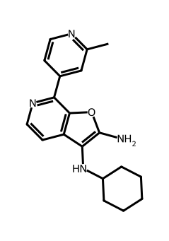 Cc1cc(-c2nccc3c(NC4CCCCC4)c(N)oc23)ccn1